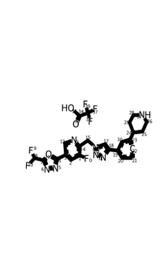 Fc1cc(-c2nnc(C(F)F)o2)cnc1Cn1cc(-c2cccc(C3CCNCC3)c2)nn1.O=C(O)C(F)(F)F